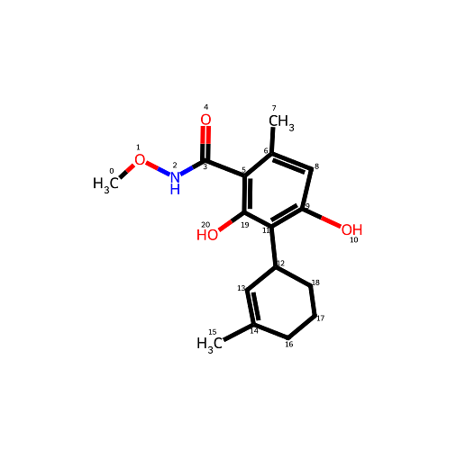 CONC(=O)c1c(C)cc(O)c(C2C=C(C)CCC2)c1O